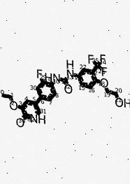 CCOc1cc(-c2ccc(NC(=O)Nc3ccc(OCCO)c(C(F)(F)F)c3)c(F)c2)c[nH]c1=O